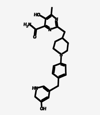 Cc1nc(CC2CCN(c3ccc(CC4=CNCC(O)=C4)cc3)CC2)nc(C(N)=O)c1O